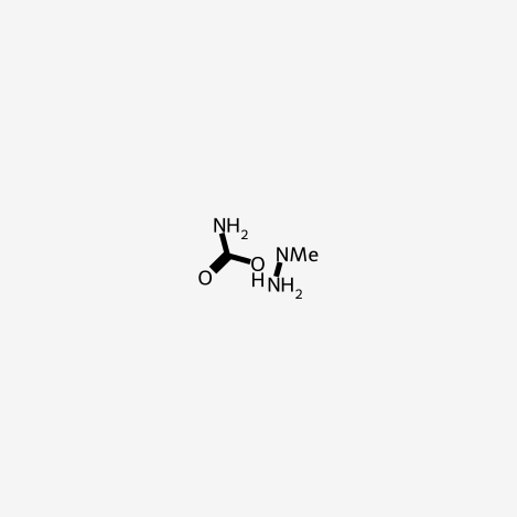 CNN.NC(=O)O